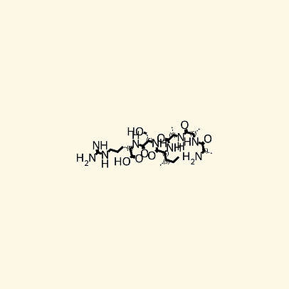 CC[C@H](C)[C@H](NC(=O)[C@H](C)NC(=O)[C@H](C)NC(=O)[C@H](C)N)C(=O)N[C@@H](CO)C(=O)N[C@@H](CCCNC(=N)N)C(=O)O